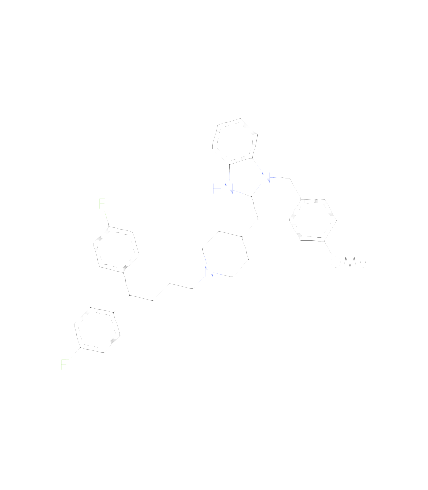 COc1ccc(CN2c3ccccc3NC2CC2CCN(CCCC(c3ccc(F)cc3)c3ccc(F)cc3)CC2)cc1